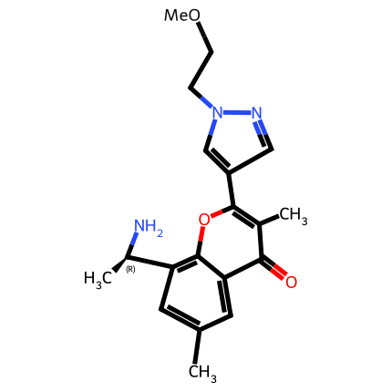 COCCn1cc(-c2oc3c([C@@H](C)N)cc(C)cc3c(=O)c2C)cn1